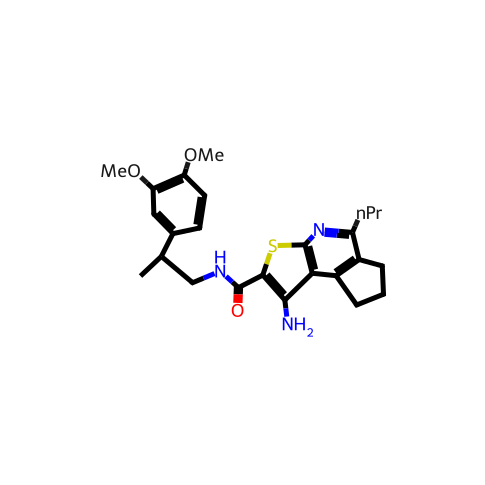 CCCc1nc2sc(C(=O)NCC(C)c3ccc(OC)c(OC)c3)c(N)c2c2c1CCC2